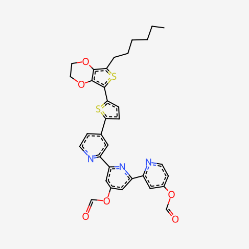 CCCCCCc1sc(-c2ccc(-c3ccnc(-c4cc(OC=O)cc(-c5cc(OC=O)ccn5)n4)c3)s2)c2c1OCCO2